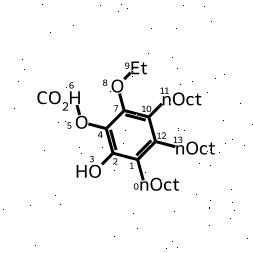 CCCCCCCCc1c(O)c(OC(=O)O)c(OCC)c(CCCCCCCC)c1CCCCCCCC